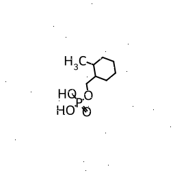 CC1CCCCC1COP(=O)(O)O